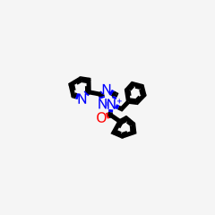 O=C(c1ccccc1)[N+]1(Cc2ccccc2)C=NC(c2ccccn2)=N1